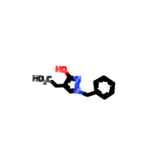 O=C(O)Cc1cn(Cc2ccccc2)nc1O